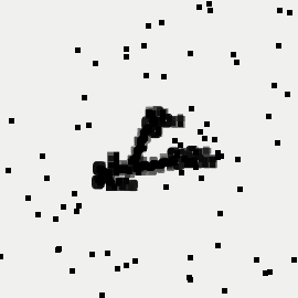 CCCCCCCCC(CCCCCCCC)OC(=O)CCCCCCCN(CCCCCCCC(=O)O[C@@H](CCC)CCCCCCCC)CCCNc1c(NC)c(=O)c1=O